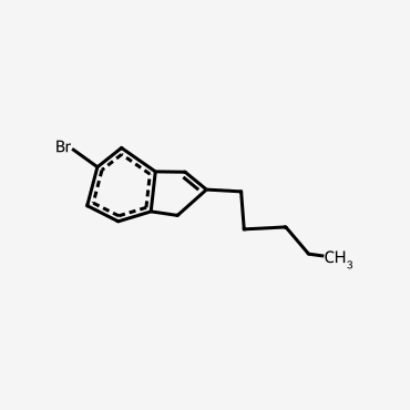 CCCCCC1=Cc2cc(Br)ccc2C1